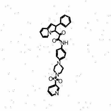 O=C(Nc1ccc(N2CCN(S(=O)(=O)c3cccnc3)CC2)cc1)C(=O)C1C(c2ccccc2)C=C2C=CC=CN21